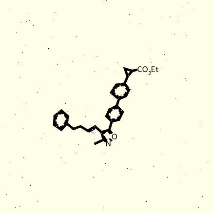 CCOC(=O)C1CC1c1ccc(-c2ccc(-c3onc(C)c3/C=C/CCc3ccccc3)cc2)cc1